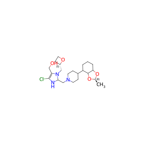 C[C@@H]1OC2CCCC(C3CCN(CC4NC(Cl)=C(CO)N4C[C@@H]4CCO4)CC3)C2O1